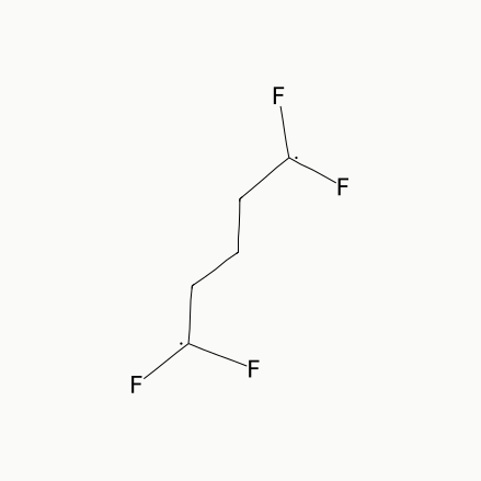 F[C](F)CCC[C](F)F